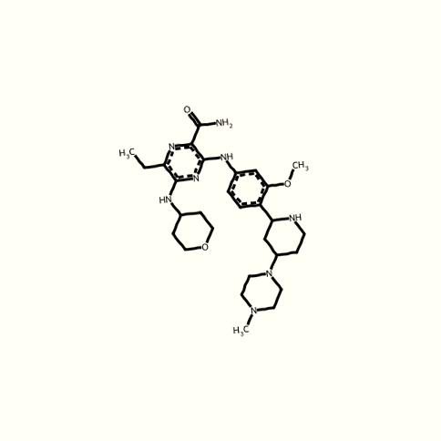 CCc1nc(C(N)=O)c(Nc2ccc(C3CC(N4CCN(C)CC4)CCN3)c(OC)c2)nc1NC1CCOCC1